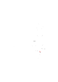 Cn1cc2c(Cl)c(-c3cn(COCC[Si](C)(C)C)c4nc(N5C6CCC5CN(C(=O)O)C6)n(C)c(=O)c34)ccc2n1